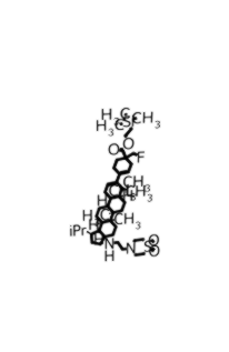 CC(C)[C@@H]1CC[C@]2(NCCN3CCS(=O)(=O)CC3)CC[C@]3(C)[C@H](CC[C@@H]4[C@@]5(C)CC=C(C6=CCC(CF)(C(=O)OCC[Si](C)(C)C)CC6)C(C)(C)[C@@H]5CC[C@]43C)[C@@H]12